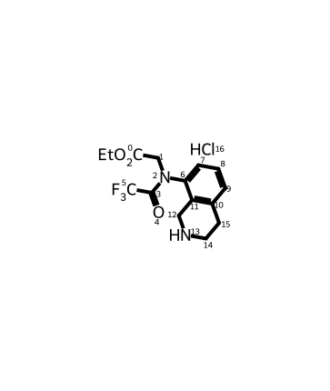 CCOC(=O)CN(C(=O)C(F)(F)F)c1cccc2c1CNCC2.Cl